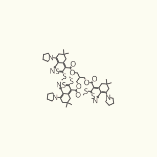 CSC(=S)/C(C(=O)OCC(COC(=O)/C(C(=S)SC)=C1\CC(C)(C)CC(N2CCCC2)=C1C#N)COC(=O)/C(C(=S)SC)=C1\CC(C)(C)CC(N2CCCC2)=C1C#N)=C1/CC(C)(C)CC(N2CCCC2)=C1C#N